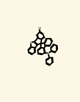 Clc1ccc2c(c1)-c1oc3ccccc3c1C21c2ccccc2-c2c(N(c3ccccc3)c3ccccc3)cccc21